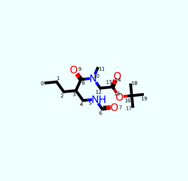 CCCC(CNC=O)C(=O)N(C)CC(=O)OC(C)(C)C